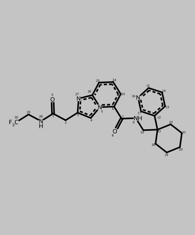 O=C(Cc1cn2c(C(=O)NCC3(c4cccnc4)CCCCC3)cccc2n1)NCC(F)(F)F